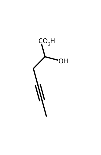 CC#CCC(O)C(=O)O